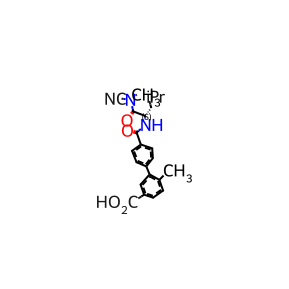 Cc1ccc(C(=O)O)cc1-c1ccc(C(=O)N[C@@H](CC(C)C)C(=O)N(C)C#N)cc1